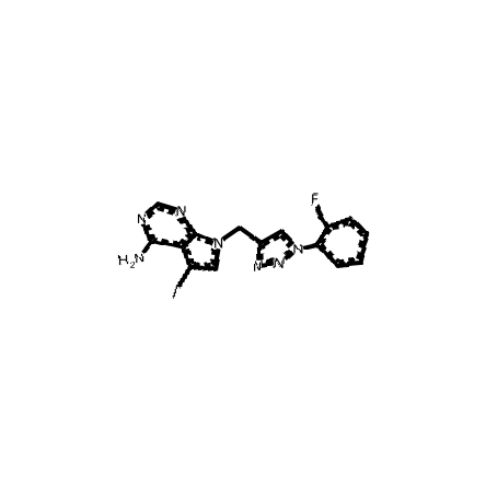 Nc1ncnc2c1c(I)cn2Cc1cn(-c2ccccc2F)nn1